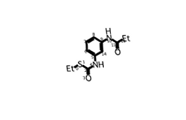 CCSC(=O)Nc1cccc(NC(=O)CC)c1